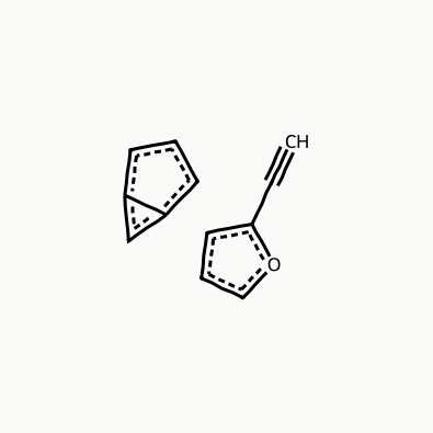 C#Cc1ccco1.c1cc2cc-2c1